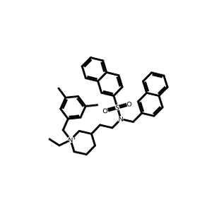 CC[N+]1(Cc2cc(C)cc(C)c2)CCCC(CCN(Cc2ccc3ccccc3c2)S(=O)(=O)c2ccc3ccccc3c2)C1